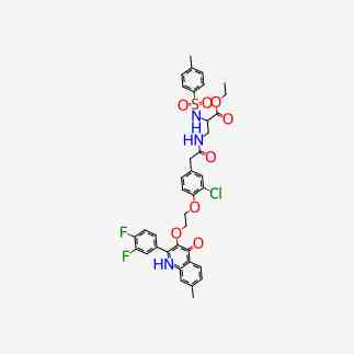 CCOC(=O)C(CNC(=O)Cc1ccc(OCCOc2c(-c3ccc(F)c(F)c3)[nH]c3cc(C)ccc3c2=O)c(Cl)c1)NS(=O)(=O)c1ccc(C)cc1